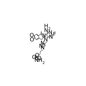 Nc1nc(F)nc2c1nc(Cc1cc3c(cc1I)OCO3)n2Cc1cn(CCCOS(N)(=O)=O)nn1